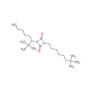 CCCCCC(N1C(=O)N(CCCCCCC(C)(C)C)C1=O)C(C)(C)C